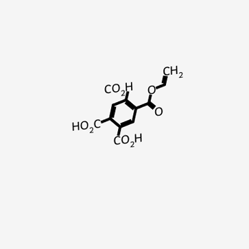 C=COC(=O)c1cc(C(=O)O)c(C(=O)O)cc1C(=O)O